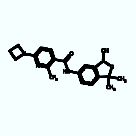 CC1(C)OB(O)c2cc(NC(=O)c3ccc(N4CCC4)nc3C(F)(F)F)ccc21